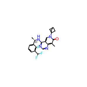 Cc1c(=O)n(C23CC(C2)C3)cc2c(N[C@H](C)c3cccc(C(F)F)c3F)ncnc12